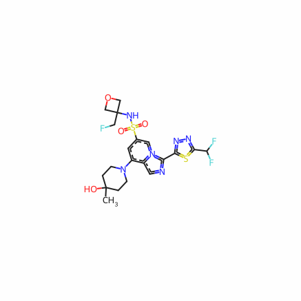 CC1(O)CCN(c2cc(S(=O)(=O)NC3(CF)COC3)cn3c(-c4nnc(C(F)F)s4)ncc23)CC1